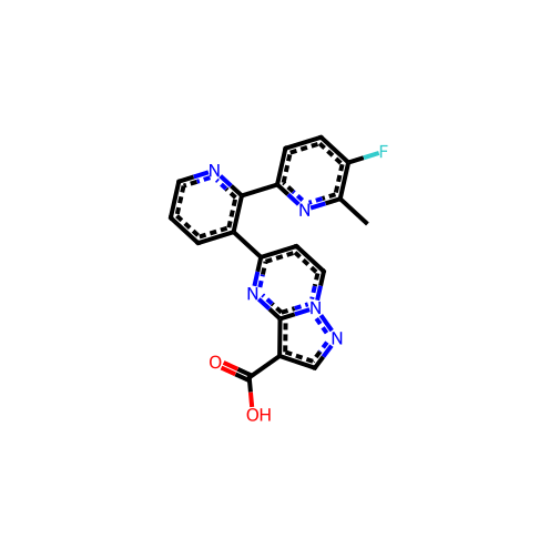 Cc1nc(-c2ncccc2-c2ccn3ncc(C(=O)O)c3n2)ccc1F